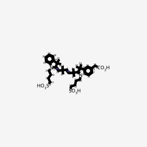 CC(C)(/C=C/C(C)(C)C1=[N+](CCCCS(=O)(=O)O)c2ccc(CC(=O)O)cc2C1(C)C)/C=C1/N(CCCCS(=O)(=O)O)c2ccccc2C1(C)C